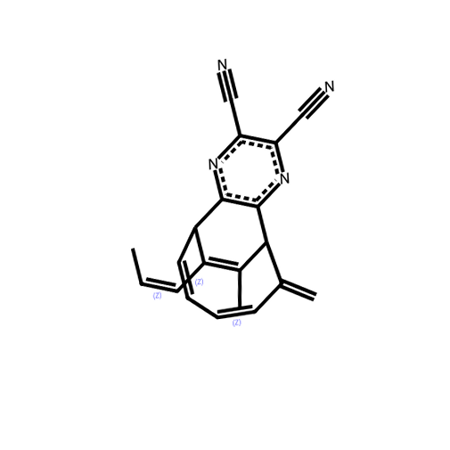 C=C1/C=C\C=C/C2C(/C=C\C)=C(C)C1c1nc(C#N)c(C#N)nc12